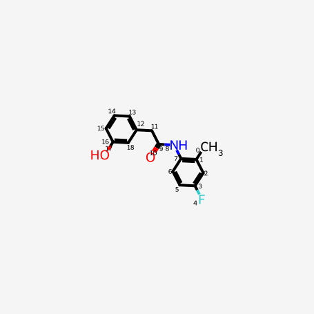 Cc1cc(F)ccc1NC(=O)Cc1cccc(O)c1